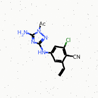 C=Cc1cc(Nc2nc(N)n(C(C)=O)n2)cc(Cl)c1C#N